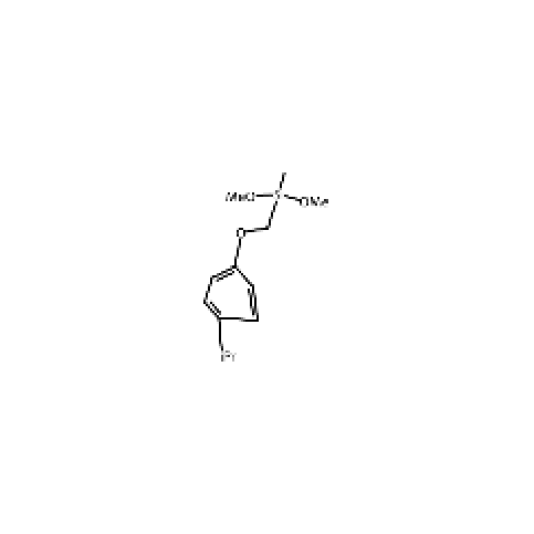 CO[Si](C)(COc1ccc(C(C)C)cc1)OC